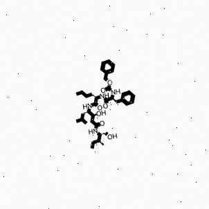 CCCC[C@H](NC(=O)[C@H](Cc1ccccc1)NC(=O)OCc1ccccc1)C(=O)N[C@@H](CC(C)C)[C@@H](O)CC(=O)N[C@H](CO)[C@@H](C)CC